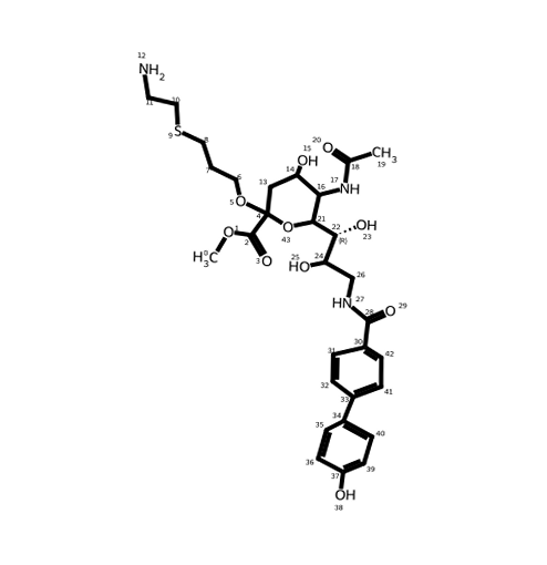 COC(=O)C1(OCCCSCCN)CC(O)C(NC(C)=O)C([C@H](O)C(O)CNC(=O)c2ccc(-c3ccc(O)cc3)cc2)O1